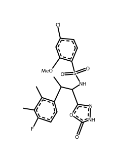 COc1cc(Cl)ccc1S(=O)(=O)NC(c1n[nH]c(=O)o1)C(C)c1ccc(F)c(C)c1C